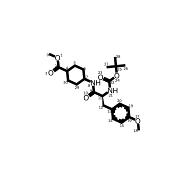 COC(=O)C1CCC(NC(=O)[C@H](Cc2ccc(OC)cc2)NC(=O)OC(C)(C)C)CC1